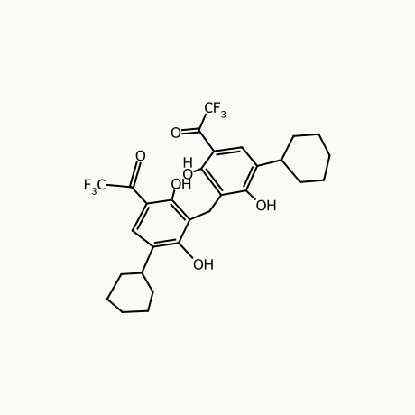 O=C(c1cc(C2CCCCC2)c(O)c(Cc2c(O)c(C(=O)C(F)(F)F)cc(C3CCCCC3)c2O)c1O)C(F)(F)F